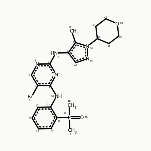 Cc1c(Nc2ncc(Br)c(Nc3ccccc3P(C)(C)=O)n2)cnn1C1CCOCC1